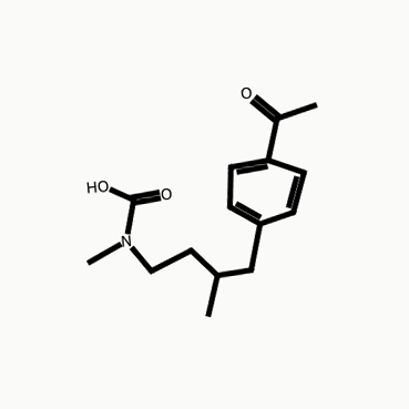 CC(=O)c1ccc(CC(C)CCN(C)C(=O)O)cc1